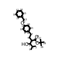 CC(C)C(O)C(CCc1ccc(OCc2ccccc2)cc1)C(=O)OC(C)(C)C